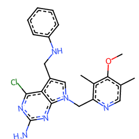 COc1c(C)cnc(Cn2cc(CNc3ccccc3)c3c(Cl)nc(N)nc32)c1C